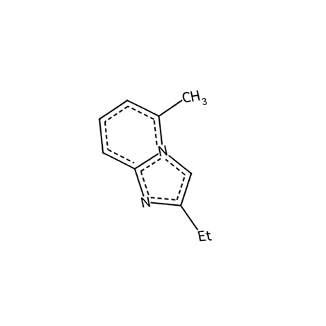 CCc1cn2c(C)cccc2n1